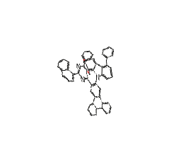 c1ccc(-c2nc(-c3cc4c5ccccc5c5ccccc5c4cc3-n3c4ccccc4c4c(-c5ccccc5)cccc43)nc(-c3cccc4ccccc34)n2)cc1